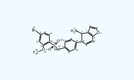 NC1c2ccoc2N=CN1c1ccc(NS(=O)(=O)c2ccc(Br)cc2OC(F)(F)F)cc1